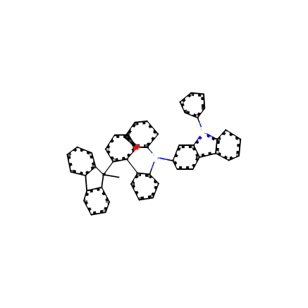 CC1(c2ccccc2-c2ccccc2N(c2ccccc2)c2ccc3c4ccccc4n(-c4ccccc4)c3c2)c2ccccc2-c2ccccc21